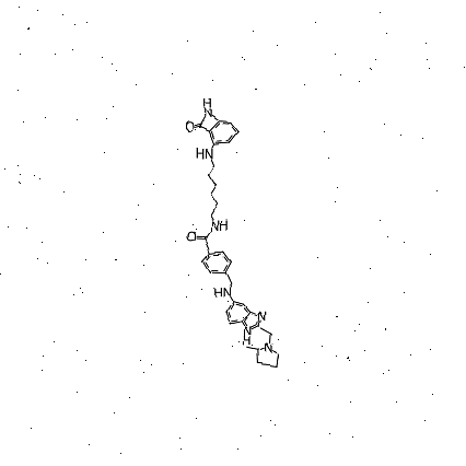 CC1CCCN1Cc1nc2cc(NCc3ccc(C(=O)NCCCCCCNc4cccc5c4C(=O)N5)cc3)ccc2[nH]1